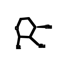 CCC1OCC[C@H](C(C)(C)C)C1C(C)(C)C